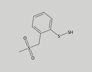 CS(=O)(=O)Cc1ccccc1SS